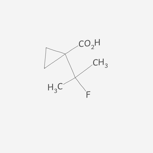 CC(C)(F)C1(C(=O)O)CC1